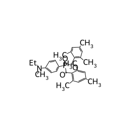 CCN(C)c1ccc(P(=O)(C(=O)c2c(C)cc(C)cc2C)C(=O)c2c(C)cc(C)cc2C)cc1